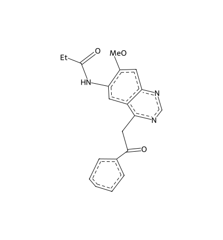 CCC(=O)Nc1cc2c(CC(=O)c3ccccc3)ncnc2cc1OC